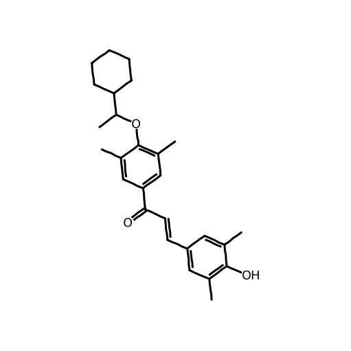 Cc1cc(/C=C/C(=O)c2cc(C)c(OC(C)C3CCCCC3)c(C)c2)cc(C)c1O